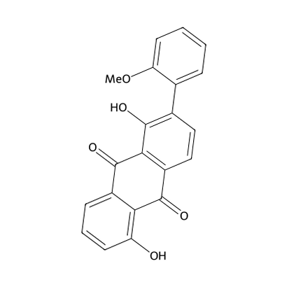 COc1ccccc1-c1ccc2c(c1O)C(=O)c1cccc(O)c1C2=O